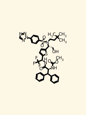 COC(=O)N[C@H](C(=O)N[C@H](c1ccc([C@@H](CO)N(CCC(C)(C)C)S(=O)(=O)c2ccc(-n3ncnn3)cc2)s1)C(F)(F)F)C(c1ccccc1)c1ccccc1